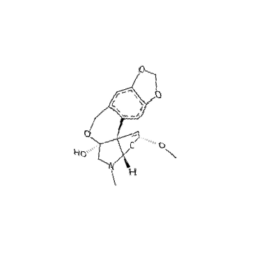 CO[C@H]1C=C[C@@]23c4cc5c(cc4CO[C@]2(O)CN(C)[C@H]3C1)OCO5